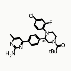 Cc1cc(-c2ccc([C@@H]3CN(C(=O)C(C)(C)C)CCN3c3ccc(Cl)cc3F)cc2)nc(N)n1